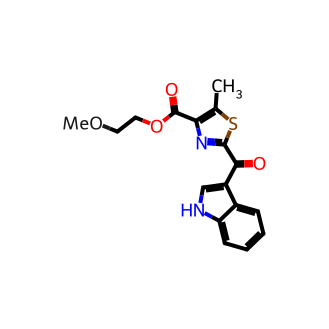 COCCOC(=O)c1nc(C(=O)c2c[nH]c3ccccc23)sc1C